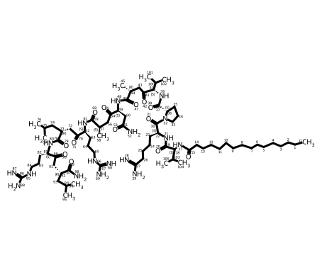 CCCCCCCCCCCCCCCC(=O)N[C@H](C(=O)N[C@@H](CCCCC(=N)N)C(=O)N1CCC[C@H]1C(=O)N[C@H](C(=O)C[C@@H](C)C(=O)N[C@@H](CC(N)=O)C(=O)C[C@@H](C)C(=O)N[C@@H](CCCNC(=N)N)C(=O)C[C@@H](CC(C)C)C(=O)N[C@@H](CCCNC(=N)N)C(=O)C[C@@H](CC(C)C)C(N)=O)C(C)C)C(C)C